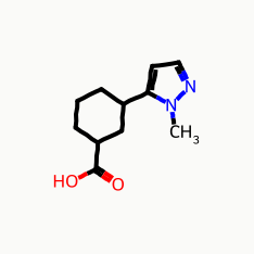 Cn1nccc1C1CCCC(C(=O)O)C1